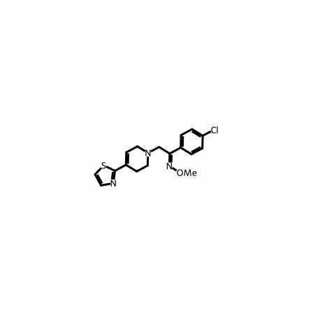 CON=C(CN1CC=C(c2nccs2)CC1)c1ccc(Cl)cc1